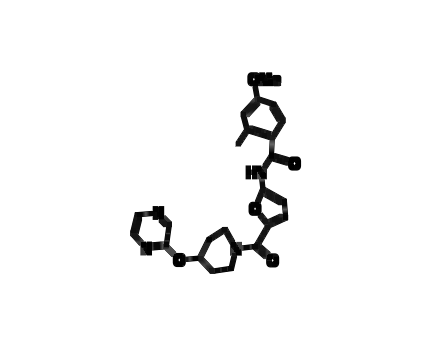 COc1ccc(C(=O)Nc2ccc(C(=O)N3CCC(Oc4cnccn4)CC3)o2)c(C)c1